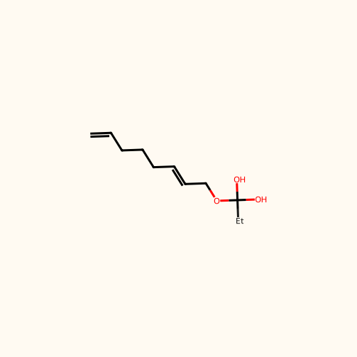 C=CCCCC=CCOC(O)(O)CC